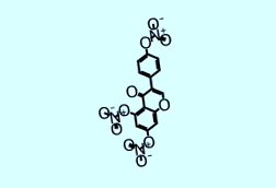 O=c1c(-c2ccc(O[N+](=O)[O-])cc2)coc2cc(O[N+](=O)[O-])cc(O[N+](=O)[O-])c12